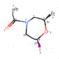 CCCC(=O)N1C[C@@H](CC)O[C@@H](I)C1